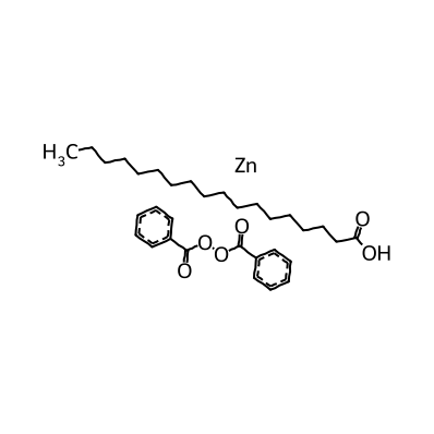 CCCCCCCCCCCCCCCCCC(=O)O.O=C(OOC(=O)c1ccccc1)c1ccccc1.[Zn]